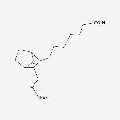 CCCCCCOCC1C2CCC(O2)C1CCCCCCC(=O)O